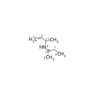 C=CC(C)NP(C)CC